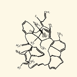 BC(S)(C(/C=C(/c1c(C)ccc2c1Cc1c(C/C=C\C(=C/C)c3ccccc3C)cccc1-2)C(C)C(C)(C=CCC)C1CC=CC=C1C(=C)/C=C\C(=C/C)CC)=C(\F)C=C)C(C)(C)C